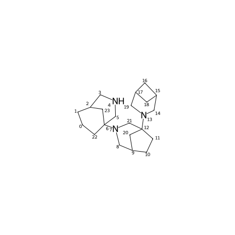 C1CC2CNCC(N3CC4CCC(N5CC6CC(C6)C5)(C4)C3)(C1)C2